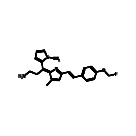 Bn1cccc1/C(CCN)=C1N=C(/C=C/c2ccc(OCF)cc2)C=C\1C